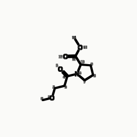 COCCC(=O)N1CCCC1C(=O)OC